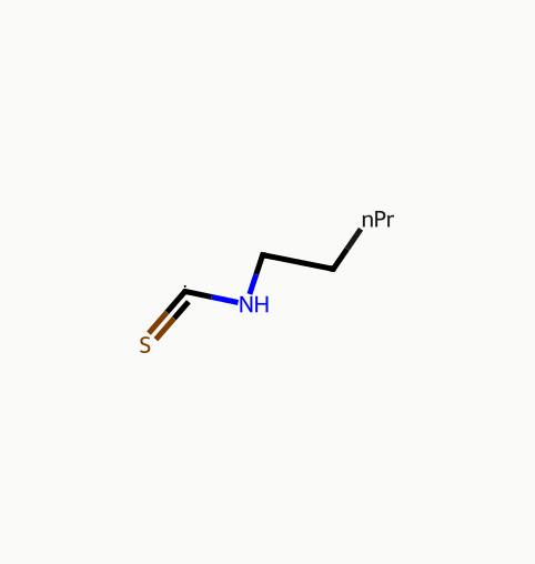 CCCCCN[C]=S